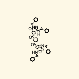 O=C(N[C@H]1C[C@@H]1c1ccccc1)[C@@H]1CN(C(=O)[C@@H]2CCC[C@H](C(=O)N3C[C@@H](C(=O)N[C@H]4C[C@@H]4c4ccccc4)[C@H](C(=O)N[C@H]4C[C@@H]4c4ccccc4)C3)C2)C[C@H]1C(=O)N[C@H]1C[C@@H]1c1ccccc1